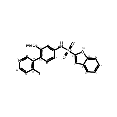 COc1cc(NS(=O)(=O)c2cc3ccccc3o2)ccc1-c1cnccc1C